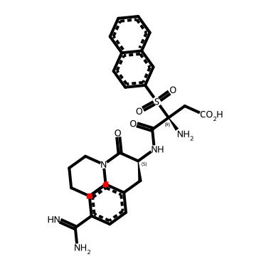 N=C(N)c1ccc(C[C@H](NC(=O)[C@@](N)(CC(=O)O)S(=O)(=O)c2ccc3ccccc3c2)C(=O)N2CCCCC2)cc1